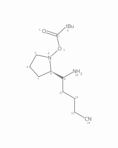 CC(C)(C)C(=O)ON1CCC[C@@H]1C(N)CCCC#N